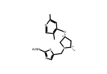 CC(=O)Nc1ncc(CN2C[C@H](Oc3cc(C)ncc3C)C[C@@H]2C)s1